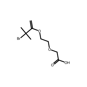 C=C(OCCOCC(=O)O)C(C)(C)Br